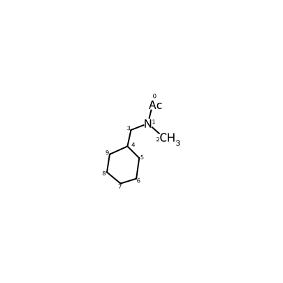 CC(=O)N(C)CC1CCCCC1